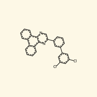 Clc1cc(Cl)cc(-c2cccc(-c3cnc4c5ccccc5c5ccccc5c4n3)c2)c1